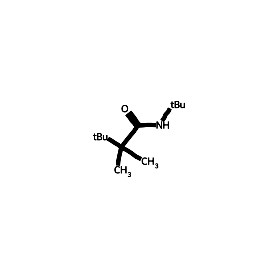 CC(C)(C)NC(=O)C(C)(C)C(C)(C)C